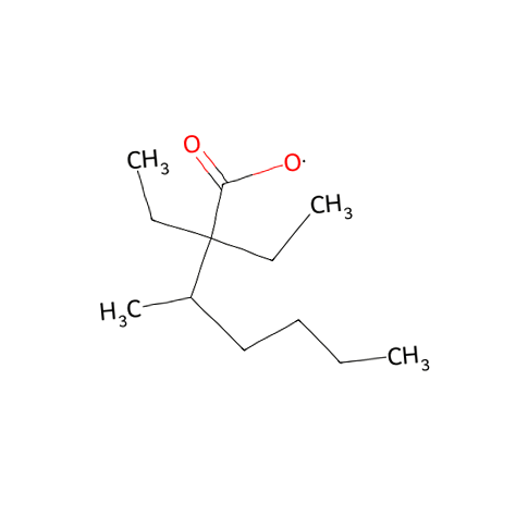 CCCCC(C)C(CC)(CC)C([O])=O